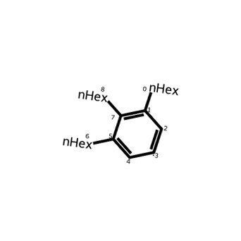 CCCCCCc1c[c]cc(CCCCCC)c1CCCCCC